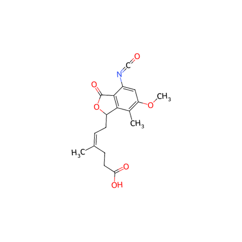 COc1cc(N=C=O)c2c(c1C)C(CC=C(C)CCC(=O)O)OC2=O